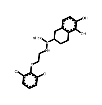 CCCCCCN(NCCSc1c(Cl)cccc1Cl)C1CCc2c(ccc(O)c2O)C1